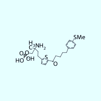 CSc1ccc(CCCCC(=O)c2ccc(CCC(C)(N)COP(=O)(O)O)s2)cc1